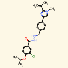 C=C(C)c1nc(-c2ccc(CNNC(=O)c3ccc(OC(C)C)c(Cl)c3)cc2)cn1C